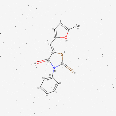 CC(=O)c1ccc(C=C2SC(=S)N(c3ccccc3)C2=O)o1